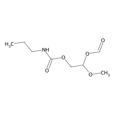 CCCNC(=O)OCC(OC)OC=O